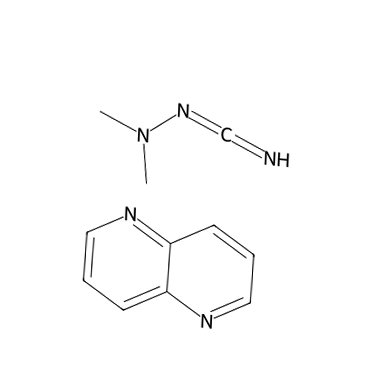 CN(C)N=C=N.c1cnc2cccnc2c1